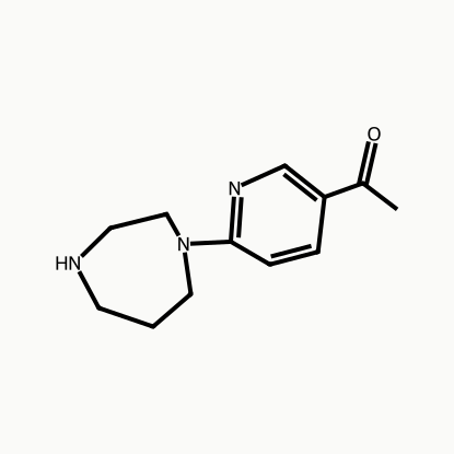 CC(=O)c1ccc(N2CCCNCC2)nc1